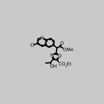 CCOC(=O)c1oc(C(C(=O)OC)c2ccc3ncc(Cl)cc3c2)nc1C(C)O